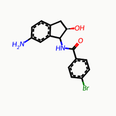 Nc1ccc2c(c1)C(NC(=O)c1ccc(Br)cc1)[C@H](O)C2